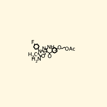 CC(=O)OCCOc1ccc(C(=O)c2sc(N(c3ccc(F)cc3)C(C)C(N)=O)nc2N)cc1